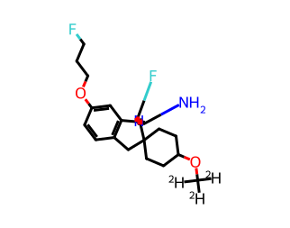 [2H]C([2H])([2H])OC1CCC2(CC1)Cc1ccc(OCCCF)cc1C21C=C(F)C(N)=N1